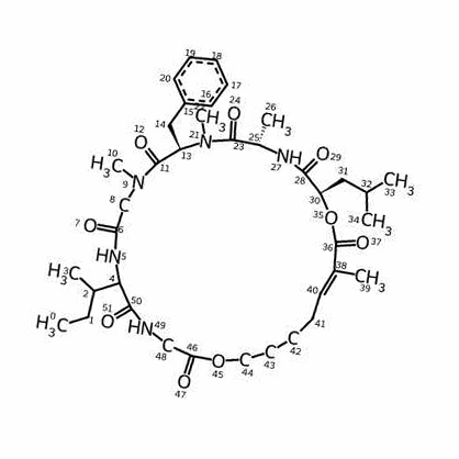 CCC(C)C1NC(=O)CN(C)C(=O)[C@@H](Cc2ccccc2)N(C)C(=O)[C@H](C)NC(=O)[C@@H](CC(C)C)OC(=O)/C(C)=C/CCCCOC(=O)CNC1=O